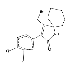 O=C1NC2(CCCCC2)C(CBr)=C1c1ccc(Cl)c(Cl)c1